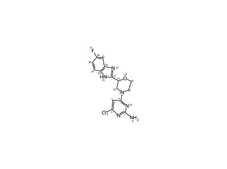 Nc1nc(Cl)cc(N2CCOC(c3nc4cc(F)ccc4[nH]3)C2)n1